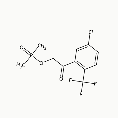 CP(C)(=O)OCC(=O)c1cc(Cl)ccc1C(F)(F)F